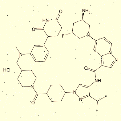 CN(CC1CCN(C(=O)C2CCC(n3cc(NC(=O)c4cnn5ccc(N6C[C@H](N)C[C@@H](F)C6)nc45)c(C(F)F)n3)CC2)CC1)c1cccc(C2CCC(=O)NC2=O)c1.Cl